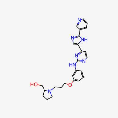 OC[C@@H]1CCCN1CCCOc1cccc(Nc2nccc(-c3cnc(-c4cccnc4)[nH]3)n2)c1